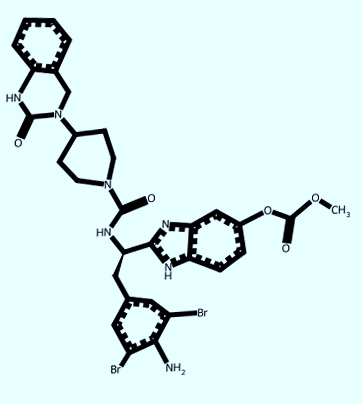 COC(=O)Oc1ccc2[nH]c([C@@H](Cc3cc(Br)c(N)c(Br)c3)NC(=O)N3CCC(N4Cc5ccccc5NC4=O)CC3)nc2c1